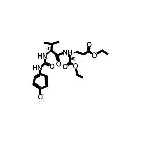 CCOC(=O)CC[C@@H](NC(=O)[C@@H](NC(=O)Nc1ccc(Cl)cc1)C(C)C)C(=O)OCC